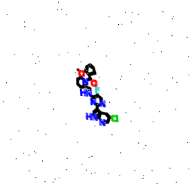 COc1ccccc1C(=O)N1CCCC[C@@H]1CNc1nc(-c2c[nH]c3ncc(Cl)cc23)ncc1F